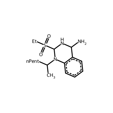 CCCCCC(C)N1c2ccccc2C(N)NC1S(=O)(=O)CC